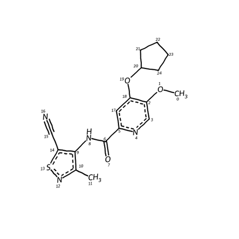 COc1cnc(C(=O)Nc2c(C)nsc2C#N)cc1OC1CCCC1